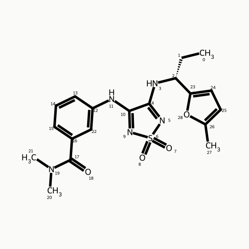 CC[C@@H](NC1=NS(=O)(=O)N=C1Nc1cccc(C(=O)N(C)C)c1)c1ccc(C)o1